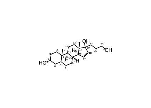 C[C@]12CCC(O)CC1CC[C@@H]1[C@@H]2CC[C@@]2(C)[C@H]1C=CC2(O)CCCO